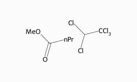 CCCC(=O)OC.ClC(Cl)C(Cl)(Cl)Cl